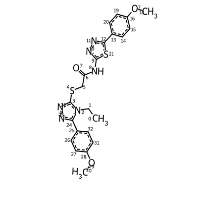 CCn1c(SCC(=O)Nc2nnc(-c3ccc(OC)cc3)s2)nnc1-c1ccc(OC)cc1